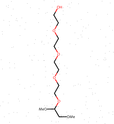 COCC(OC)OCCOCCOCCOCCO